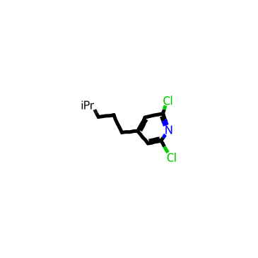 CC(C)CCCc1cc(Cl)nc(Cl)c1